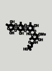 CO[C@H]1C(O)[C@H](NC(=O)CC(C)(C)O)C(C)O[C@H]1OC1[C@@H](O)C(C)O[C@@H](OC2[C@@H](O)C(C)O[C@@H](O[C@H]3C(O)[C@@H](O)C(C)O[C@H]3O)[C@H]2O)[C@H]1O